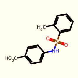 Cc1ccccc1S(=O)(=O)Nc1ccc(C(=O)O)cc1